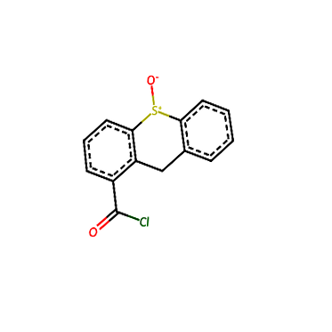 O=C(Cl)c1cccc2c1Cc1ccccc1[S+]2[O-]